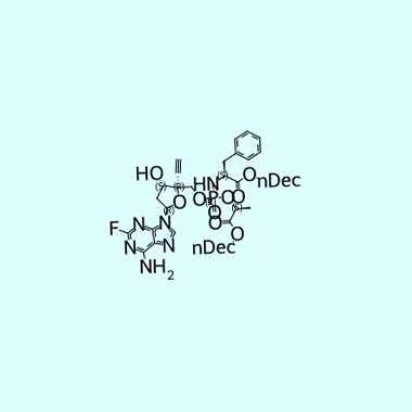 C#C[C@]1(CO[P@](=O)(N[C@@H](Cc2ccccc2)C(=O)OCCCCCCCCCC)O[C@@H](C)C(=O)OCCCCCCCCCC)O[C@@H](n2cnc3c(N)nc(F)nc32)C[C@@H]1O